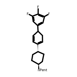 CCCCC[C@H]1CC[C@H](C2=CCC(c3cc(F)c(F)c(F)c3)C=C2)CC1